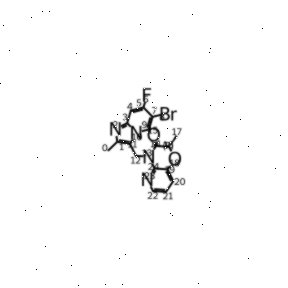 Cc1nc2cc(F)c(Br)cn2c1CN1C(=O)[C@@H](C)Oc2cccnc21